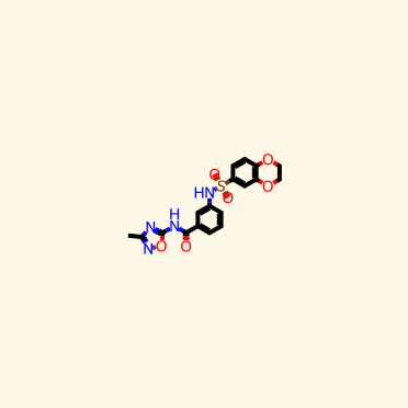 Cc1noc(NC(=O)c2cccc(NS(=O)(=O)c3ccc4c(c3)OCCO4)c2)n1